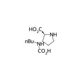 CCCCNC(=O)O.O=C(O)[C@@H]1CCCN1